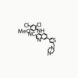 COc1cc(Nc2c(C#N)cnc3cc(-c4csc(CN5CCN(C)CC5)c4)ccc23)c(Cl)cc1Cl